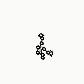 CC1(C)CCC(C)(C)c2cc(-c3ccc(N4c5ccc(-c6ccc7c(c6)C(C)(C)CCC7(C)C)cc5B5c6c(cccc64)-c4cccc6c7c8ccccc8ccc7n5c46)cc3)ccc21